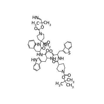 CC(C)(C)OC(=O)N1CCC(C(=O)NC(Cc2csc3ccccc23)C(=O)NC(Cc2c[nH]c3ccccc23)C(=O)NC(Cc2ccccc2)C(=O)NC2(C(N)=O)CCN(C(=O)OC(C)(C)C=N)CC2)CC1